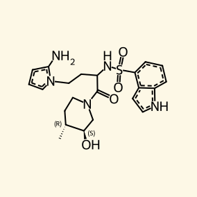 C[C@@H]1CCN(C(=O)C(CCn2cccc2N)NS(=O)(=O)c2cccc3[nH]ccc23)C[C@H]1O